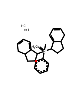 Cl.Cl.[CH3][Hf](=[GeH2])([c]1ccccc1)([CH]1CCC2CC=CC=C21)[CH]1CCC2CC=CC=C21